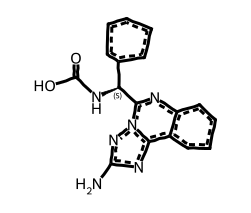 Nc1nc2c3ccccc3nc([C@@H](NC(=O)O)c3ccccc3)n2n1